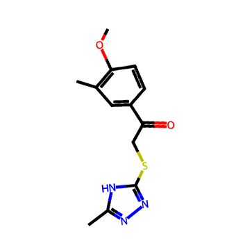 COc1ccc(C(=O)CSc2nnc(C)[nH]2)cc1C